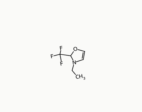 CCN1C=COC1C(F)(F)F